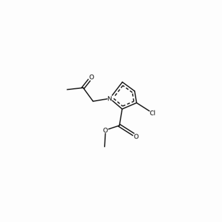 COC(=O)c1c(Cl)ccn1CC(C)=O